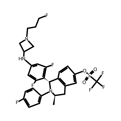 C[C@@H]1Cc2cc(OS(=O)(=O)C(F)(F)F)ccc2[C@@H](c2c(F)cc(NC3CN(CCCF)C3)cc2F)N1c1ccc(F)cc1